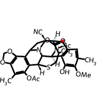 COc1c(C)cc2c(c1O)[C@H]1C3[C@@H]4SCC(C)C(=O)OCC(c5c6c(c(C)c(OC(C)=O)c54)OCO6)N3[C@@H](C#N)[C@@H](C2)N1C(C)=O